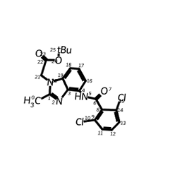 Cc1nc2c(NC(=O)c3c(Cl)cccc3Cl)cccc2n1CC(=O)OC(C)(C)C